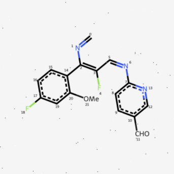 C=N/C(=C(F)\C=N/c1ccc(C=O)cn1)c1ccc(F)cc1OC